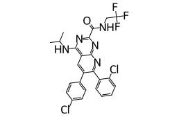 CC(C)Nc1nc(C(=O)NCC(F)(F)F)nc2nc(-c3ccccc3Cl)c(-c3ccc(Cl)cc3)cc12